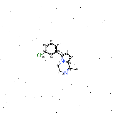 CC1=NCCn2c1ccc2-c1cccc(Cl)c1